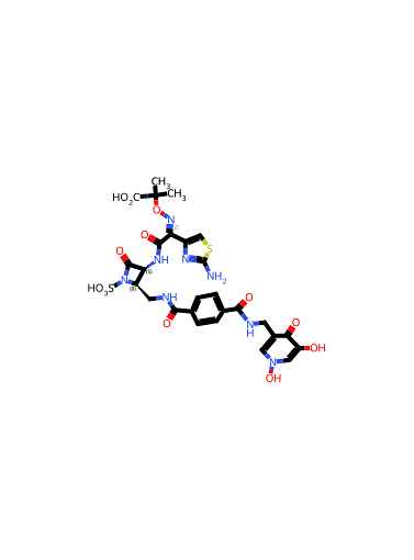 CC(C)(O/N=C(\C(=O)N[C@@H]1C(=O)N(S(=O)(=O)O)[C@@H]1CNC(=O)c1ccc(C(=O)NCc2cn(O)cc(O)c2=O)cc1)c1csc(N)n1)C(=O)O